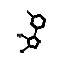 N#Cc1cnn(-c2cccc(I)c2)c1N